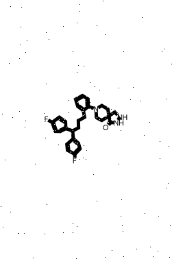 O=C1NNCC12CCN(c1ccccc1CCCC(c1ccc(F)cc1)c1ccc(F)cc1)CC2